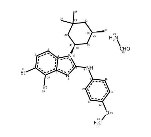 CCc1ccc2c(nc(Nc3ccc(OC(F)(F)F)cc3)n2[C@@H]2C[C@H](C)CC(C)(C)C2)c1CC.NC=O